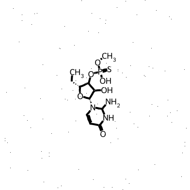 CC[C@H]1O[C@@H](N2C=CC(=O)NC2N)C(O)C1OP(O)(=S)OC